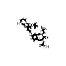 CC(C)(C)OC(=O)C1(CCOc2ccc3c(c2)CN(CC(F)(F)F)C(=O)[C@H](CC(=O)O)C3)CN2CCCNC2=N1